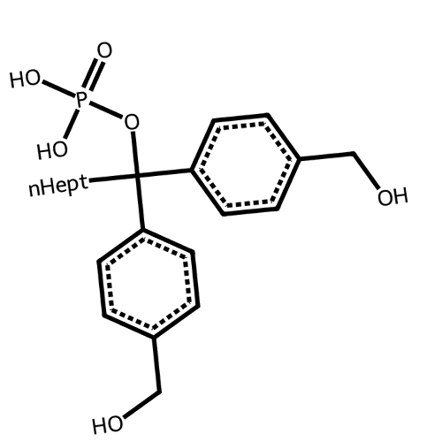 CCCCCCCC(OP(=O)(O)O)(c1ccc(CO)cc1)c1ccc(CO)cc1